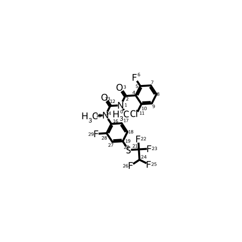 CN(C(=O)c1c(F)cccc1Cl)C(=O)N(C)c1ccc(SC(F)(F)C(F)F)cc1F